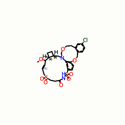 COC1/C=C/CS(=O)(=O)CCC(=O)NS(=O)(=O)c2ccc3c(c2)N(COCCc2cc(Cl)ccc2CO3)C[C@@H]2CC[C@@H]12